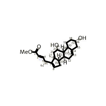 COC(=O)/C=C/[C@@H](C)C1=CC[C@H]2[C@@H]3CC=C4C[C@@H](O)CC[C@]4(C)[C@H]3[C@@H](O)C[C@]12C